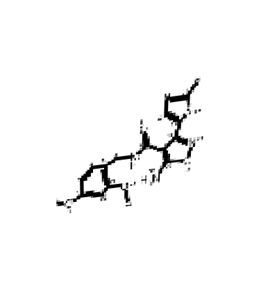 COc1ccc(CNC(=O)c2c(-c3ccc(C)s3)noc2N)c(OC)c1